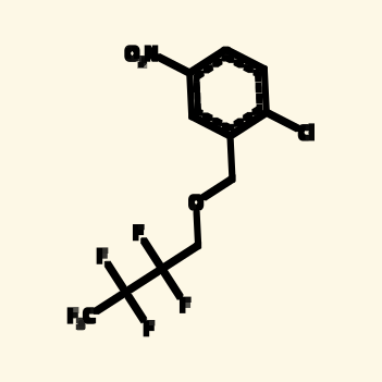 O=[N+]([O-])c1ccc(Cl)c(COCC(F)(F)C(F)(F)C(F)(F)F)c1